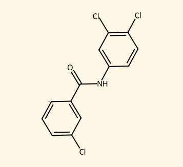 O=C(Nc1ccc(Cl)c(Cl)c1)c1[c]ccc(Cl)c1